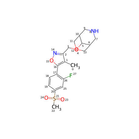 Cc1c(COC2C3CNCC2COC3)noc1-c1ccc(S(C)(=O)=O)cc1F